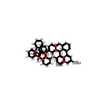 CC(C)(C)c1cc(-c2cccc3cccc(-c4ccccc4N(c4ccccc4-c4cccc5c4-c4ccccc4C5(C)C)c4cccc5c4-c4ccccc4C5(C)c4ccccc4)c23)cc(C(C)(C)C)c1